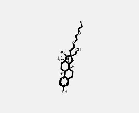 C[C@]12CC[C@@H]3c4ccc(O)cc4CC[C@H]3[C@@H]1C[C@@](CO)(CCOCCOCCBr)[C@@H]2O